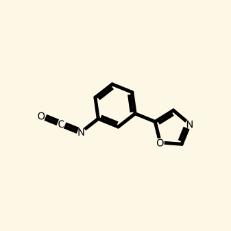 O=C=Nc1cccc(-c2cnco2)c1